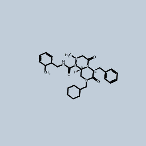 CC1C=CC=CC1CNC(=O)N1[C@H]2CN(CC3CCCCC3)C(=O)[C@H](Cc3ccccc3)N2C(=O)CN1C